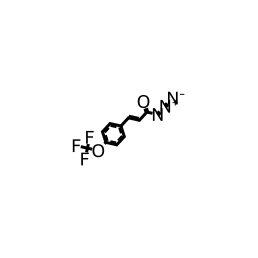 [N-]=[N+]=NC(=O)C=Cc1ccc(OC(F)(F)F)cc1